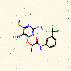 CSc1nc(N)nc(O[C@H](C)C(=O)Nc2cccc(C(F)(F)F)c2)c1N